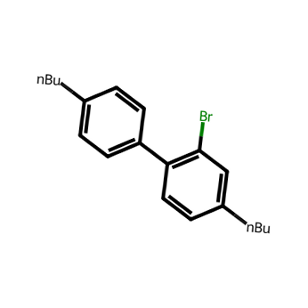 CCCCc1ccc(-c2ccc(CCCC)cc2Br)cc1